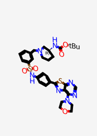 CC(C)(C)OC(=O)N[C@@H]1CCCN(Cc2cccc(S(=O)(=O)Nc3ccc(-c4nc5c(N6CCOCC6)ncnc5s4)cc3)c2)C1